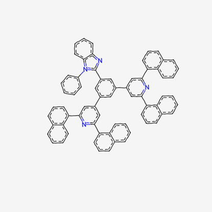 c1ccc(-n2c(-c3cc(-c4cc(-c5cccc6ccccc56)nc(-c5cccc6ccccc56)c4)cc(-c4cc(-c5cccc6ccccc56)nc(-c5cccc6ccccc56)c4)c3)nc3ccccc32)cc1